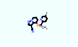 C[C@@H](Oc1cccn2ncc(C#N)c12)c1ccc(F)cn1